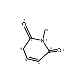 CN1C(=O)C=CCC1=O